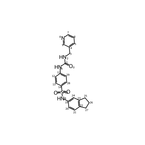 O=C(NCc1cccnc1)Nc1ccc(S(=O)(=O)Nc2ccc3c(c2)CCC3)cc1